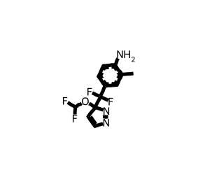 Cc1cc(C(F)(F)C2(OC(F)F)C=CN=N2)ccc1N